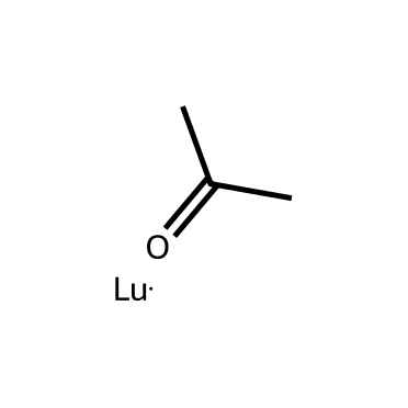 CC(C)=O.[Lu]